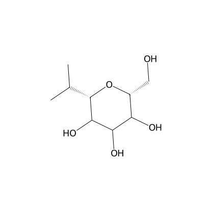 CC(C)[C@@H]1O[C@H](CO)C(O)C(O)C1O